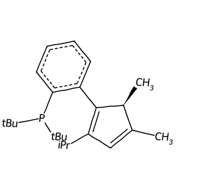 CC1=CC(C(C)C)=C(c2ccccc2P(C(C)(C)C)C(C)(C)C)[C@H]1C